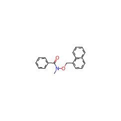 CN(OCc1cccc2ccccc12)C(=O)c1ccccc1